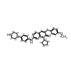 COc1ccc(Cc2cc3cnc(Nc4ccc(N5CCNCC5)cc4)nc3n(C3CCCC3)c2=O)cc1